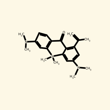 C=C(C)c1cc(N(C)C)cc2c1C(=O)c1ccc(N(C)C)cc1[Si]2(C)C